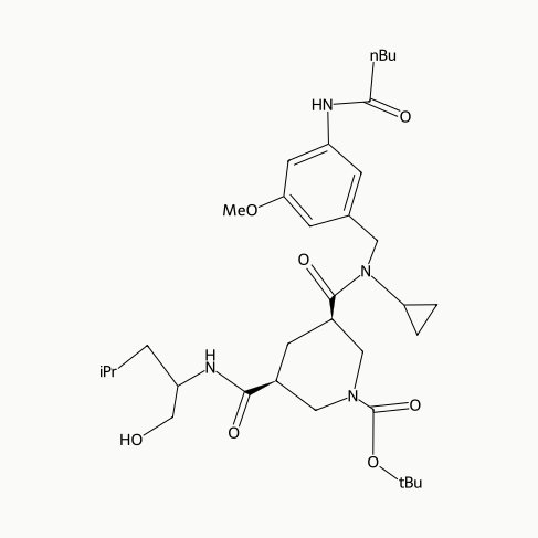 CCCCC(=O)Nc1cc(CN(C(=O)[C@@H]2C[C@H](C(=O)NC(CO)CC(C)C)CN(C(=O)OC(C)(C)C)C2)C2CC2)cc(OC)c1